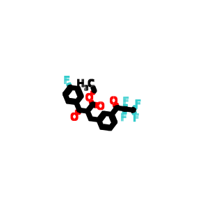 CCOC(=O)C(Cc1cccc(C(=O)C(F)(F)C(F)F)c1)C(=O)c1ccc(F)cc1